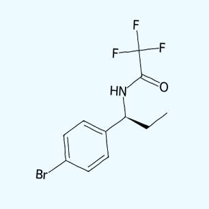 CC[C@H](NC(=O)C(F)(F)F)c1ccc(Br)cc1